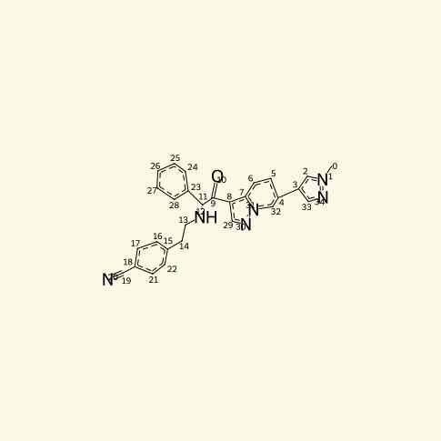 Cn1cc(-c2ccc3c(C(=O)[C@H](NCCc4ccc(C#N)cc4)c4ccccc4)cnn3c2)cn1